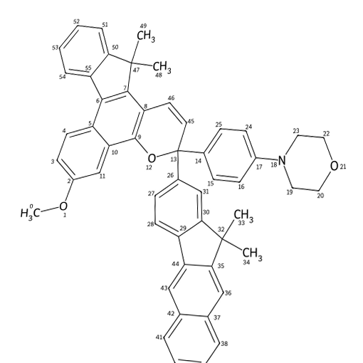 COc1ccc2c3c(c4c(c2c1)OC(c1ccc(N2CCOCC2)cc1)(c1ccc2c(c1)C(C)(C)c1cc5ccccc5cc1-2)C=C4)C(C)(C)c1ccccc1-3